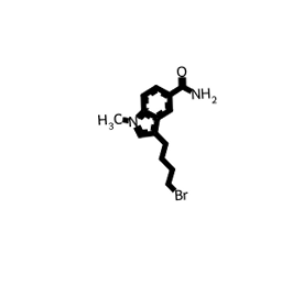 Cn1cc(CCCCBr)c2cc(C(N)=O)ccc21